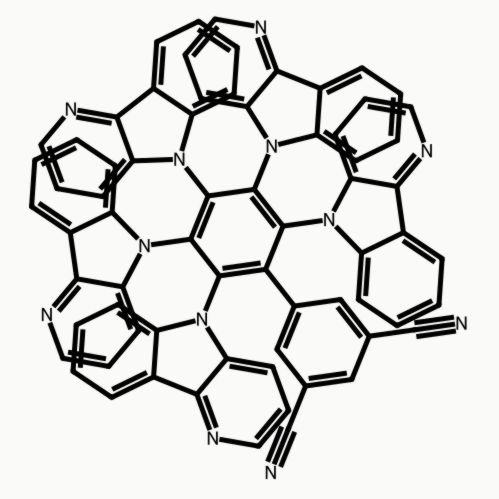 N#Cc1cc(C#N)cc(-c2c(-n3c4ccccc4c4ncccc43)c(-n3c4ccccc4c4ncccc43)c(-n3c4ccccc4c4ncccc43)c(-n3c4ccccc4c4ncccc43)c2-n2c3ccccc3c3ncccc32)c1